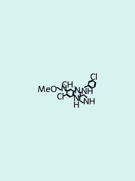 COCCN(C)c1cc2c(cc1Cl)NC1(CCNCC1)C(NCc1cccc(Cl)c1)=N2